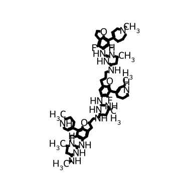 CNC1CC(C)NC(Nc2cc3c(c(C4=CCN[C@@H](C)CC4)c2F)OC(CNC2CC(C)NC(Nc4cc5c(c(C6=CC(C)NCCC6)c4F)OC(CNC4CC(C)NC(Nc6c(F)c7c(c(C8=CCN(C)CCC8)c6F)OCC7)N4)C5)N2)C3)N1